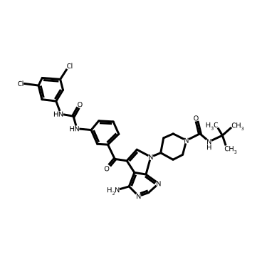 CC(C)(C)NC(=O)N1CCC(n2cc(C(=O)c3cccc(NC(=O)Nc4cc(Cl)cc(Cl)c4)c3)c3c(N)ncnc32)CC1